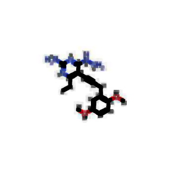 CCc1nc(N)nc(NN)c1C#CCc1cc(OC)ccc1OC